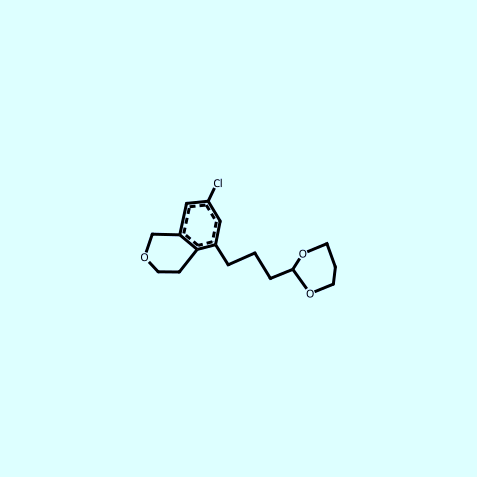 Clc1cc(CCCC2OCCCO2)c2c(c1)COCC2